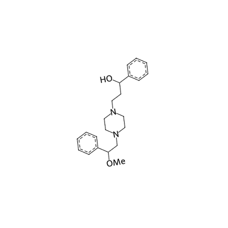 COC(CN1CCN(CCC(O)c2ccccc2)CC1)c1ccccc1